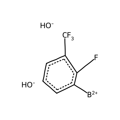 [B+2]c1cccc(C(F)(F)F)c1F.[OH-].[OH-]